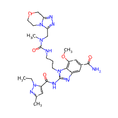 CCn1nc(C)cc1C(=O)Nc1nc2cc(C(N)=O)cc(OC)c2n1CCCNC(=O)N(C)Cc1nnc2n1CCOC2